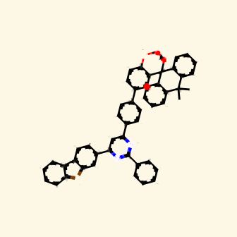 CC1(C)c2ccccc2C2(c3ccccc3Oc3ccc(-c4ccc(-c5cc(-c6ccc7c(c6)sc6ccccc67)nc(-c6ccccc6)n5)cc4)cc32)c2ccccc21